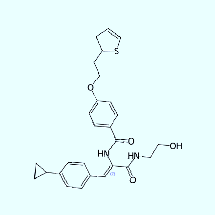 O=C(NCCO)/C(=C/c1ccc(C2CC2)cc1)NC(=O)c1ccc(OCCC2CC=CS2)cc1